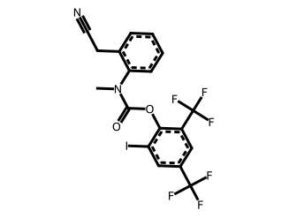 CN(C(=O)Oc1c(I)cc(C(F)(F)F)cc1C(F)(F)F)c1ccccc1CC#N